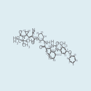 Cc1cc(Oc2ccccc2)ccc1N1C(=O)Nc2c(C(=O)NC3CCCN(C(=O)C(C#N)=CC4(N(C(=O)O)C(C)(C)C)CC4)C3)sc3nccc1c23